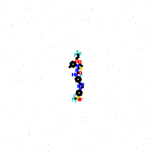 Cc1ccc(OCCC(F)(F)F)c(N2C(=O)CS/C2=N\C(=O)Nc2ccc(-c3ncn(-c4ccc([S+]([O-])C(F)(F)F)cc4)n3)cc2F)c1